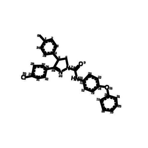 Cc1ccc(C2CN(C(=O)Nc3ccc(Oc4ccccc4)cc3)N=C2c2ccc(Cl)cc2)cc1